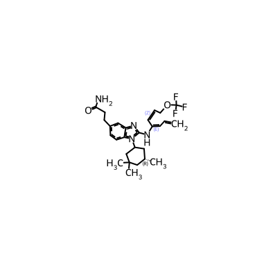 C=C/C=C(\C=C/COC(F)(F)F)Nc1nc2cc(CCC(N)=O)ccc2n1C1C[C@H](C)CC(C)(C)C1